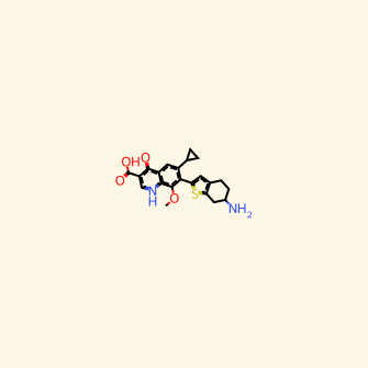 COc1c(-c2cc3c(s2)CC(N)CC3)c(C2CC2)cc2c(=O)c(C(=O)O)c[nH]c12